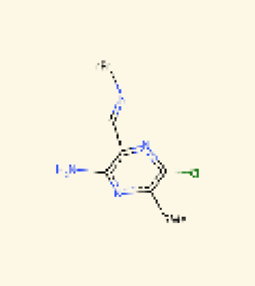 CCCN=Cc1nc(Cl)c(SC)nc1N